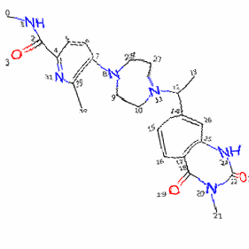 CNC(=O)c1ccc(N2CCN(C(C)c3ccc4c(=O)n(C)c(=O)[nH]c4c3)CC2)c(C)n1